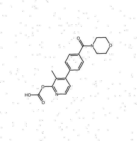 Cc1c(-c2ccc(C(=O)N3CCOCC3)cc2)ccnc1OC(=O)O